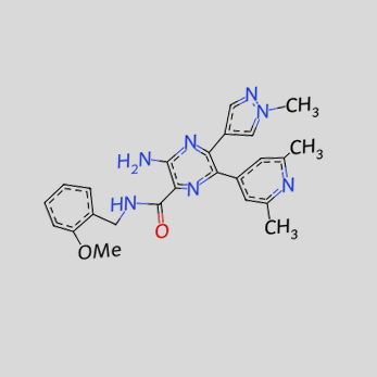 COc1ccccc1CNC(=O)c1nc(-c2cc(C)nc(C)c2)c(-c2cnn(C)c2)nc1N